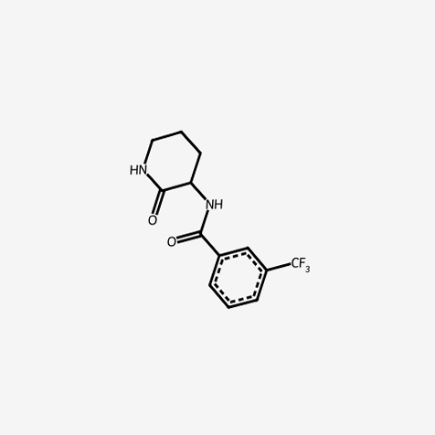 O=C(NC1CCCNC1=O)c1cccc(C(F)(F)F)c1